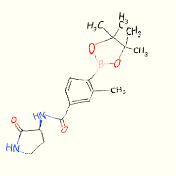 Cc1cc(C(=O)N[C@H]2CCNC2=O)ccc1B1OC(C)(C)C(C)(C)O1